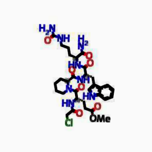 COC(=O)CC[C@H](NC(=O)CCl)C(=O)N1CCCC[C@H]1C(=O)N[C@@H](Cc1c[nH]c2ccccc12)C(=O)N[C@@H](CCCNC(N)=O)C(N)=O